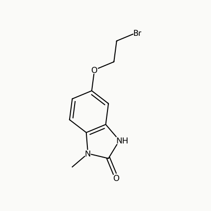 Cn1c(=O)[nH]c2cc(OCCBr)ccc21